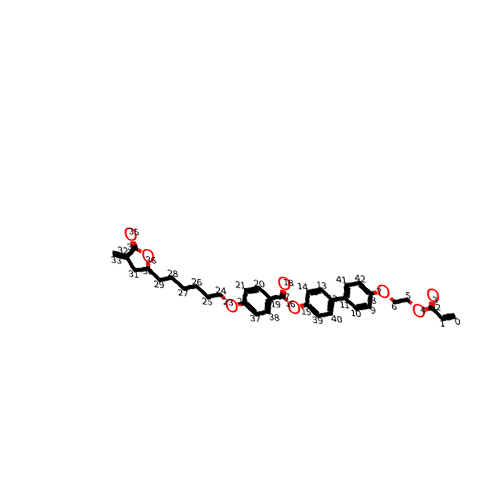 C=CC(=O)OCCOc1ccc(-c2ccc(OC(=O)c3ccc(OCCCCCCC4CC(=C)C(=O)O4)cc3)cc2)cc1